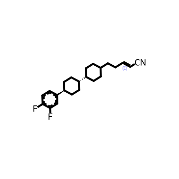 N#C/C=C/CCC1CCC([C@H]2CC[C@H](c3ccc(F)c(F)c3)CC2)CC1